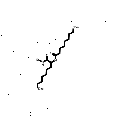 CCCCCCCCCCCCCCCCCC(=O)NC(CCCCCCCCCCCCCCCC)C(=O)NCC